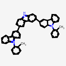 Cc1ccccc1N1c2ccccc2C2C=C(c3ccc4[nH]c5ccc(-c6ccc7c(c6)c6ccccc6n7-c6ccccc6C)cc5c4c3)C=CC21